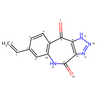 C=Cc1ccc2c(=O)c3[nH]nnc3c(=O)[nH]c2c1